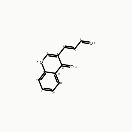 O=CC=Cc1coc2cc[c]cc2c1=O